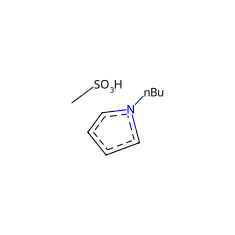 CCCCn1cccc1.CS(=O)(=O)O